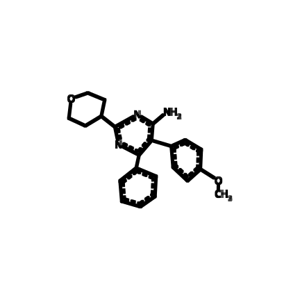 COc1ccc(-c2c(N)nc(C3CCOCC3)nc2-c2ccccc2)cc1